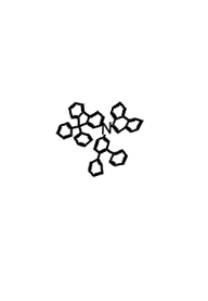 c1ccc(-c2ccc(N(c3ccc4c(c3)C(c3ccccc3)(c3ccccc3)c3ccccc3-4)c3cc4ccccc4c4ccccc34)cc2-c2ccccc2)cc1